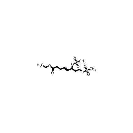 CCOC(=O)CC/C=C/C(CCOS(C)(=O)=O)OS(C)(=O)=O